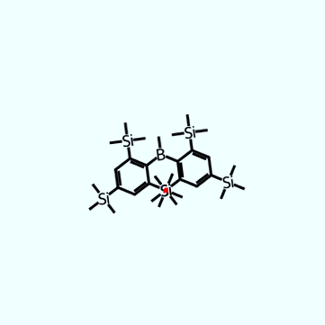 CB(c1c([Si](C)(C)C)cc([Si](C)(C)C)cc1[Si](C)(C)C)c1c([Si](C)(C)C)cc([Si](C)(C)C)cc1[Si](C)(C)C